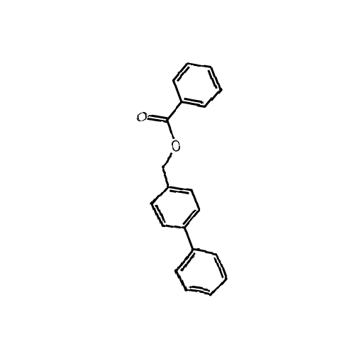 O=C(OCc1ccc(-c2ccccc2)cc1)c1ccccc1